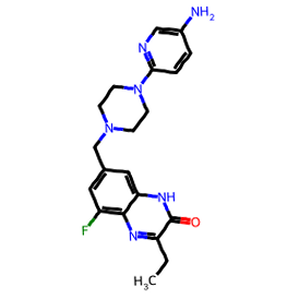 CCc1nc2c(F)cc(CN3CCN(c4ccc(N)cn4)CC3)cc2[nH]c1=O